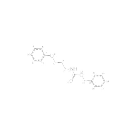 O=C(NCCCOc1cc[c]cc1)OCc1ccccc1